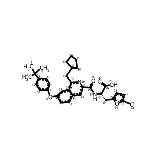 CC(C)(C)c1ccc(Oc2ccc3cc(C(=O)N[C@@H](Cc4ccc(Cl)o4)C(=O)O)nc(CC4CCCC4)c3c2)cc1